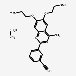 C#Cc1cccc(-c2nc(N)c3cc(OCCOC)c(OCCOC)cc3n2)c1.CS(=O)(=O)O